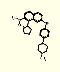 CN1CCN(c2ccc(Nc3ncc4ccc(N(C)C)c(C5CCCC5)c4n3)cc2)CC1